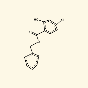 O=C(OCc1ccccc1)c1ccc(Cl)cc1O